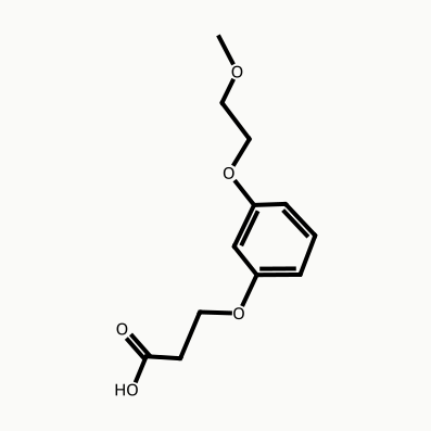 COCCOc1cccc(OCCC(=O)O)c1